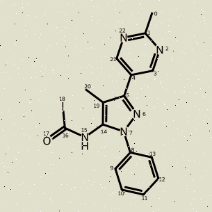 Cc1ncc(-c2nn(-c3ccccc3)c(NC(=O)I)c2C)cn1